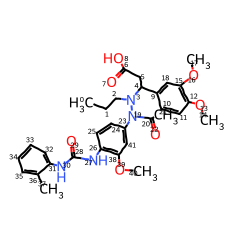 CCCN(C(CC(=O)O)c1ccc(OC)c(OC)c1)N(C(C)=O)c1ccc(NC(=O)Nc2ccccc2C)c(OC)c1